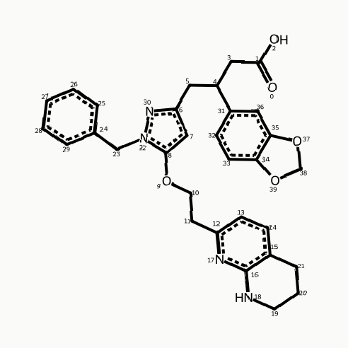 O=C(O)CC(Cc1cc(OCCc2ccc3c(n2)NCCC3)n(Cc2ccccc2)n1)c1ccc2c(c1)OCO2